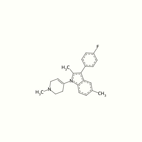 Cc1ccc2c(c1)c(-c1ccc(F)cc1)c(C)n2C1=CCN(C)CC1